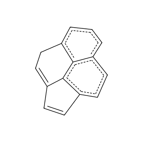 C1=Cc2ccc3cccc4c3c2C1=CC4